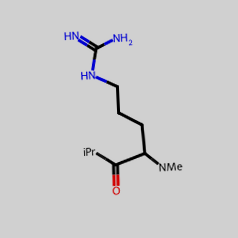 CNC(CCCNC(=N)N)C(=O)C(C)C